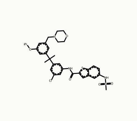 CC(C)Oc1cc(CN2CCOCC2)cc(C(C)(C)c2cc(Cl)cc(NC(=O)c3cc4cc(NS(C)(=O)=O)ccc4s3)c2)c1